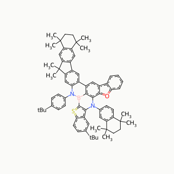 CC(C)(C)c1ccc(N2B3c4sc5ccc(C(C)(C)C)cc5c4N(c4ccc5c(c4)C(C)(C)CCC5(C)C)c4c3c(cc3c4oc4ccccc43)-c3cc4c(cc32)C(C)(C)c2cc3c(cc2-4)C(C)(C)CCC3(C)C)cc1